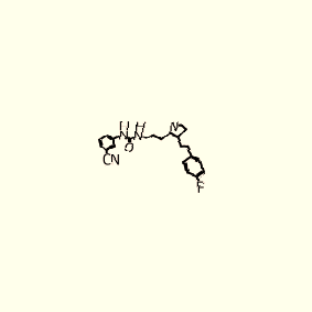 N#Cc1cccc(NC(=O)NCCCC2=NCCC2CCc2ccc(F)cc2)c1